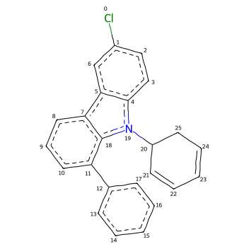 Clc1ccc2c(c1)c1cccc(-c3ccccc3)c1n2C1C=CC=CC1